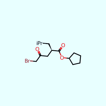 CC(C)C[C@H](CC(=O)CBr)C(=O)OC1CCCC1